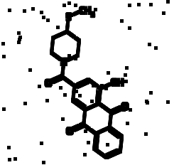 CSC1CCN(C(=O)c2cc(O)c3c(c2)C(=O)c2ccccc2C3=O)CC1